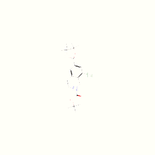 CC(C)(C)OC(=O)N1CCc2cc(B3OC(C)(C)C(C)(C)O3)cc(Br)c2C1